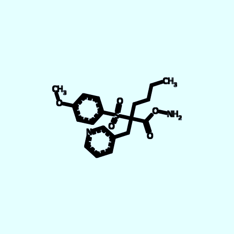 CCCCC(Cc1cccnc1)(C(=O)ON)S(=O)(=O)c1ccc(OC)cc1